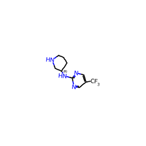 FC(F)(F)c1cnc(N[C@@H]2CCCNC2)nc1